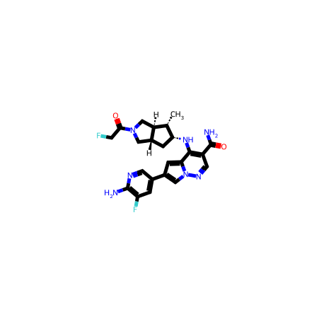 C[C@H]1[C@@H]2CN(C(=O)CF)C[C@H]2C[C@H]1Nc1c(C(N)=O)cnn2cc(-c3cnc(N)c(F)c3)cc12